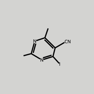 Cc1nc(C)c(C#N)c(I)n1